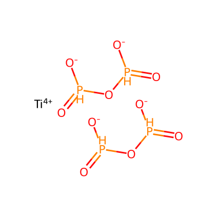 O=[PH]([O-])O[PH](=O)[O-].O=[PH]([O-])O[PH](=O)[O-].[Ti+4]